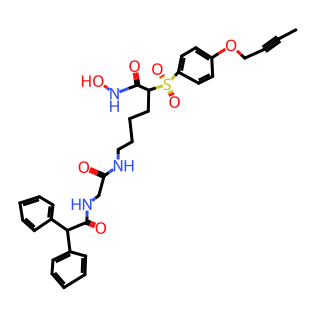 CC#CCOc1ccc(S(=O)(=O)C(CCCCNC(=O)CNC(=O)C(c2ccccc2)c2ccccc2)C(=O)NO)cc1